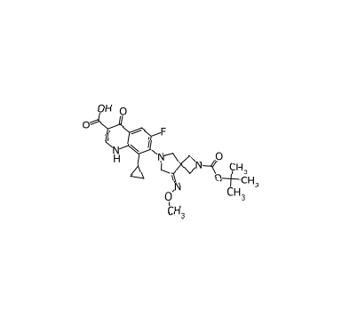 CON=C1CN(c2c(F)cc3c(=O)c(C(=O)O)c[nH]c3c2C2CC2)CC12CN(C(=O)OC(C)(C)C)C2